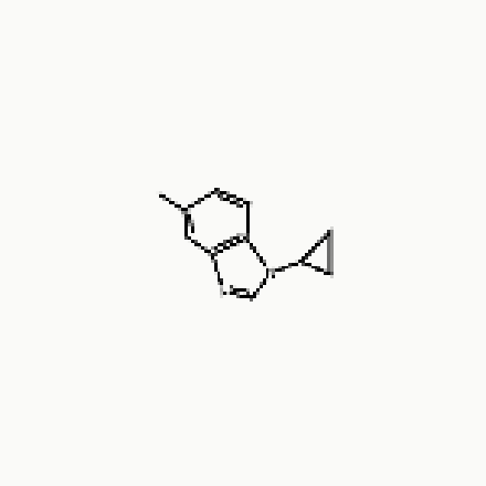 Ic1ccc2c(c1)ncn2C1CC1